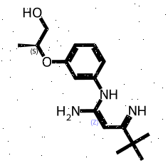 C[C@@H](CO)Oc1cccc(N/C(N)=C\C(=N)C(C)(C)C)c1